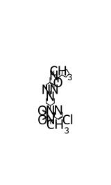 CN(Cc1cnc(N2CCC(n3c(=O)c(=O)n(C)c4cc(Cl)cnc43)CC2)nc1)C(=O)C1CCCC1